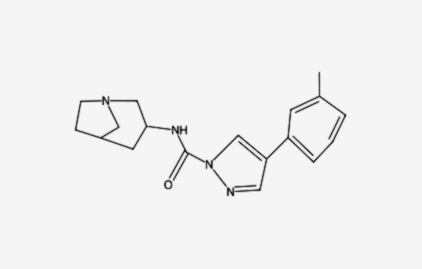 Cc1cccc(-c2cnn(C(=O)NC3CC4CCN(C4)C3)c2)c1